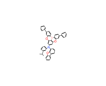 CC(C)c1cccc(N(c2cc3c4c(c2)Oc2cc(-c5ccccc5)ccc2B4c2ccc(-c4ccccc4)cc2O3)c2cccc3c2oc2ccccc23)c1